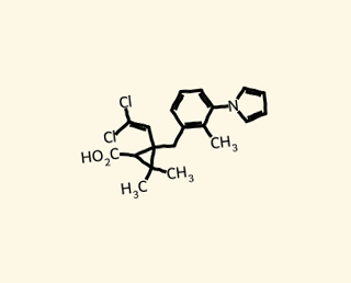 Cc1c(CC2(C=C(Cl)Cl)C(C(=O)O)C2(C)C)cccc1-n1cccc1